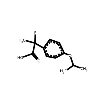 CC(C)Oc1ccc(C(C)(F)C(=O)O)cc1